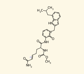 COC(=O)NC(CC/C=C/C(N)=O)C(=O)Nc1cccn(Cc2cc3cccc(CC(C)C)c3[nH]2)c1=O